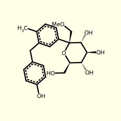 COC[C@]1(c2ccc(C)c(Cc3ccc(O)cc3)c2)O[C@H](CO)[C@@H](O)[C@H](O)[C@H]1O